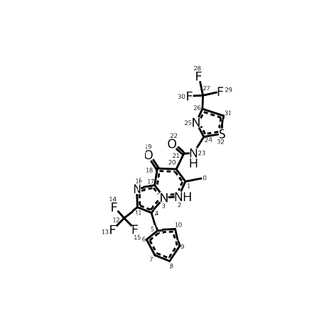 Cc1[nH]n2c(-c3ccccc3)c(C(F)(F)F)nc2c(=O)c1C(=O)Nc1nc(C(F)(F)F)cs1